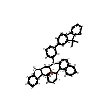 CC1(C)c2ccccc2-c2ccc(-c3cccc(N(C4=CC5Oc6ccccc6C5C=C4)c4ccc5ccccc5c4C4C=CC=CC4)c3)cc21